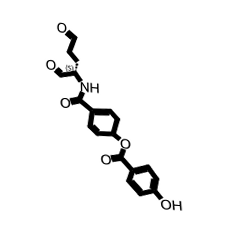 O=CCC[C@@H](C=O)NC(=O)C1=CCC(OC(=O)c2ccc(O)cc2)C=C1